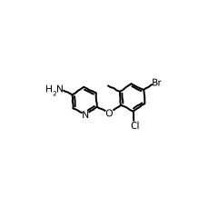 Cc1cc(Br)cc(Cl)c1Oc1ccc(N)cn1